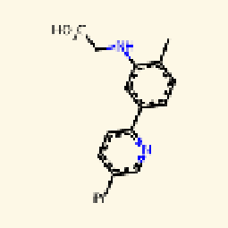 Cc1ccc(-c2ccc(C(C)C)cn2)cc1NCC(=O)O